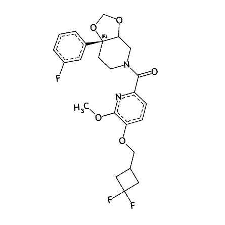 COc1nc(C(=O)N2CC[C@]3(c4cccc(F)c4)OCOC3C2)ccc1OCC1CC(F)(F)C1